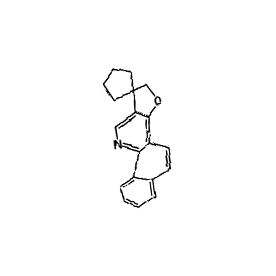 c1ccc2c(c1)ccc1c3c(cnc12)C1(CCCC1)CO3